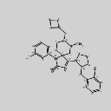 CC1CC2(CCN1CC1CCC1)C(N1CCCC1Cc1ccccc1F)=NC(=O)N2c1cccc(F)c1